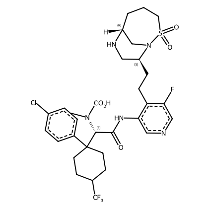 CN(C(=O)O)[C@H](C(=O)Nc1cncc(F)c1CC[C@H]1CN[C@@H]2CCCS(=O)(=O)N1C2)C1(c2ccc(Cl)cc2)CCC(C(F)(F)F)CC1